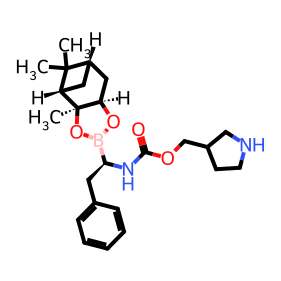 CC1(C)[C@@H]2C[C@H]3OB([C@H](Cc4ccccc4)NC(=O)OCC4CCNC4)O[C@@]3(C)[C@H]1C2